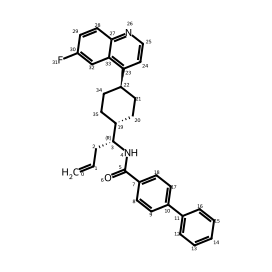 C=CC[C@@H](NC(=O)c1ccc(-c2ccccc2)cc1)[C@H]1CC[C@H](c2ccnc3ccc(F)cc32)CC1